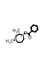 C[C@H]1CN(C)CCCN1OC(=O)c1ccccc1